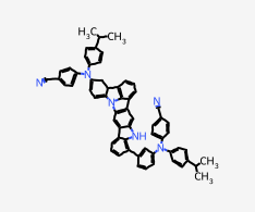 CC(C)c1ccc(N(C2=CC=C3C(C2)c2cccc4c5cc6[nH]c7c(-c8cccc(N(c9ccc(C#N)cc9)c9ccc(C(C)C)cc9)c8)cccc7c6cc5n3c24)c2ccc(C#N)cc2)cc1